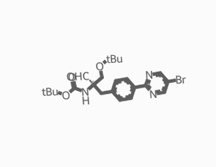 CC(C)(C)OC[C@@](C=O)(Cc1ccc(-c2ncc(Br)cn2)cc1)NC(=O)OC(C)(C)C